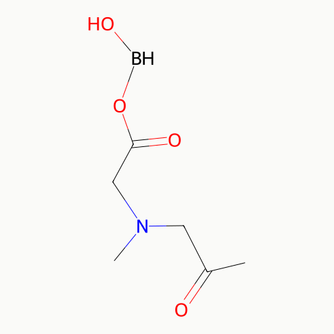 CC(=O)CN(C)CC(=O)OBO